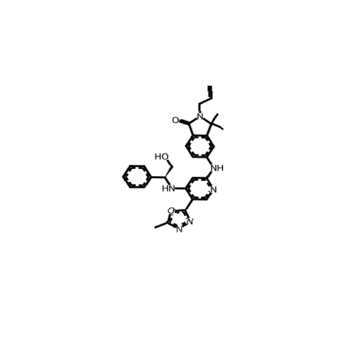 C=CCN1C(=O)c2ccc(Nc3cc(N[C@H](CO)c4ccccc4)c(-c4nnc(C)o4)cn3)cc2C1(C)C